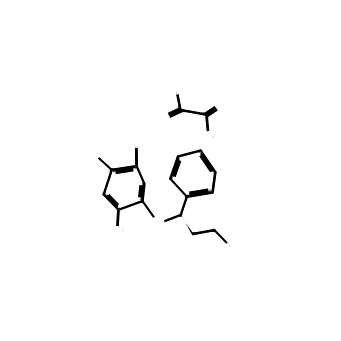 N#Cc1cc(F)c(Br)cc1O[C@H](CCN)c1ccccc1.O=C(O)C(=O)O